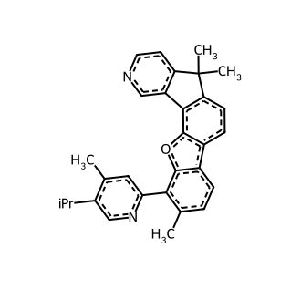 Cc1cc(-c2c(C)ccc3c2oc2c4c(ccc23)C(C)(C)c2ccncc2-4)ncc1C(C)C